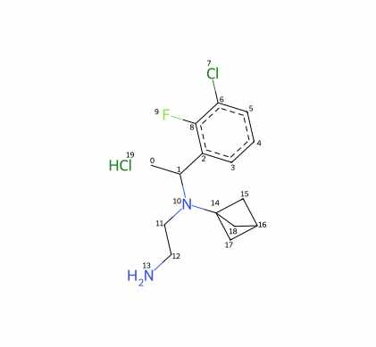 CC(c1cccc(Cl)c1F)N(CCN)C12CC(C1)C2.Cl